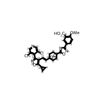 COc1ccc(-c2noc(C34CCC(C=Cc5c(-c6c(Cl)cncc6Cl)noc5C5CC5)(CC3)OC4)n2)cc1C(=O)O